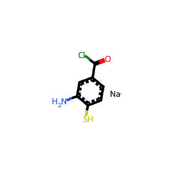 Nc1cc(C(=O)Cl)ccc1S.[Na]